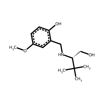 COc1ccc(O)c(CN[C@H](CO)C(C)(C)C)c1